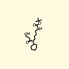 CC(C)(C)OC(=O)NCCCCN(C(=O)CCO)C1CCCCC1